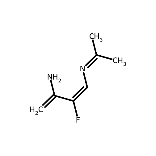 C=C(N)/C(F)=C\N=C(C)C